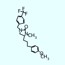 COc1ccc(CCCC2CN(Cc3ccc(C(F)(F)F)cc3)C(=O)N2C)cc1